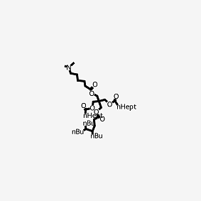 CCCCCCCC(=O)OCC(COC(=O)CCCCCCC)(COC(=O)CCCCCN(C)C)COC(=O)CCC(CCCC)C(CCCC)CCCC